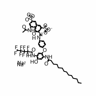 CCCCCCCCCCCCCC(=O)Nc1cc(O)c(NC(=O)C(F)(F)C(F)(F)C(F)(F)C(F)F)cc1Oc1ccc(N=Nc2c(S(=O)(=O)[O-])cc3cc(S(=O)(=O)[O-])cc(NC(C)=O)c3c2O)cc1.[Na+].[Na+]